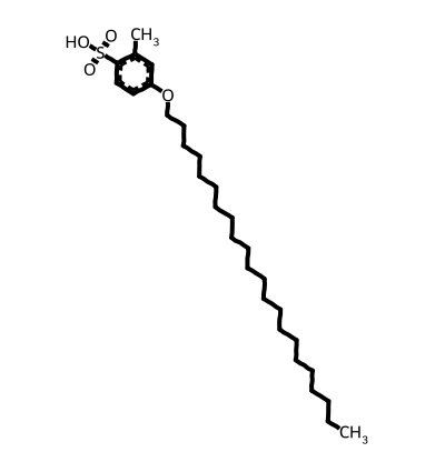 CCCCCCCCCCCCCCCCCCCCCCOc1ccc(S(=O)(=O)O)c(C)c1